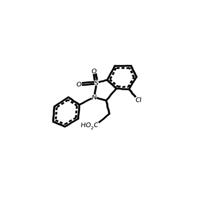 O=C(O)CC1c2c(Cl)cccc2S(=O)(=O)N1c1ccccc1